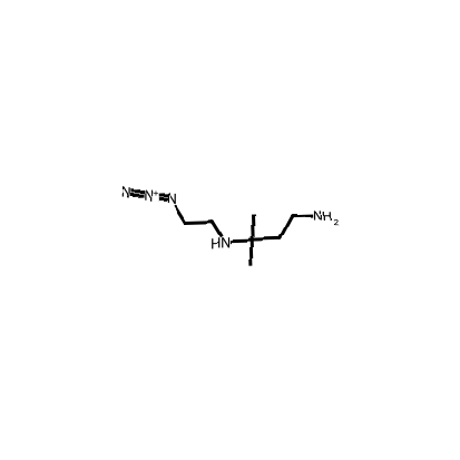 CC(C)(CCN)NCCN=[N+]=[N-]